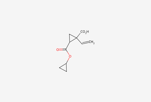 C=CC1(C(=O)O)CC1C(=O)OC1CC1